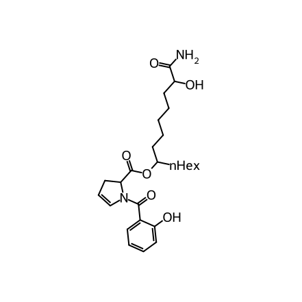 CCCCCCC(CCCCCC(O)C(N)=O)OC(=O)C1CC=CN1C(=O)c1ccccc1O